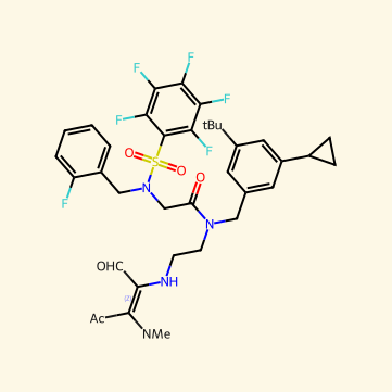 CN/C(C(C)=O)=C(/C=O)NCCN(Cc1cc(C2CC2)cc(C(C)(C)C)c1)C(=O)CN(Cc1ccccc1F)S(=O)(=O)c1c(F)c(F)c(F)c(F)c1F